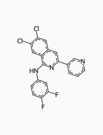 Fc1ccc(Nc2nc(-c3cccnc3)cc3cc(Cl)c(Cl)cc23)cc1F